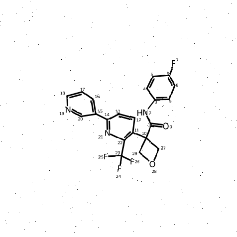 O=C(Nc1ccc(F)cc1)C1(c2ccc(-c3cccnc3)nc2C(F)(F)F)COC1